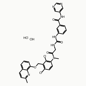 Cc1ccc2cccc(OCc3c(Cl)ccc(N(C)C(=O)CNC(=O)Nc4cccc(C(=O)Nc5cncnc5)c4)c3Cl)c2n1.Cl.Cl